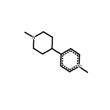 CN1CCC(c2cc[n+](C)cc2)CC1